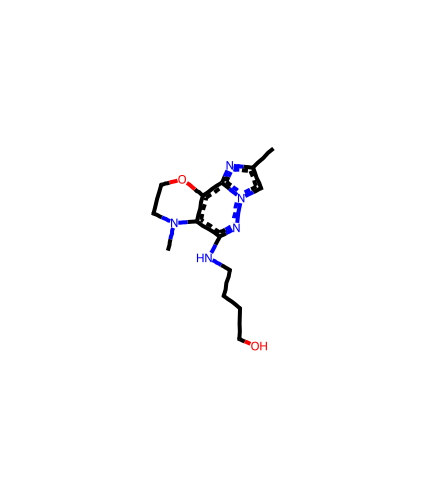 Cc1cn2nc(NCCCCO)c3c(c2n1)OCCN3C